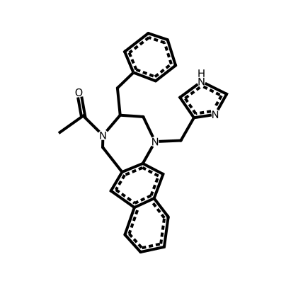 CC(=O)N1Cc2cc3ccccc3cc2N(Cc2c[nH]cn2)CC1Cc1ccccc1